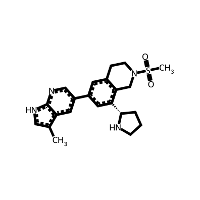 Cc1c[nH]c2ncc(-c3cc4c(c([C@@H]5CCCN5)c3)CN(S(C)(=O)=O)CC4)cc12